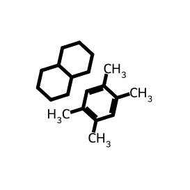 C1CCC2CCCCC2C1.Cc1cc(C)c(C)cc1C